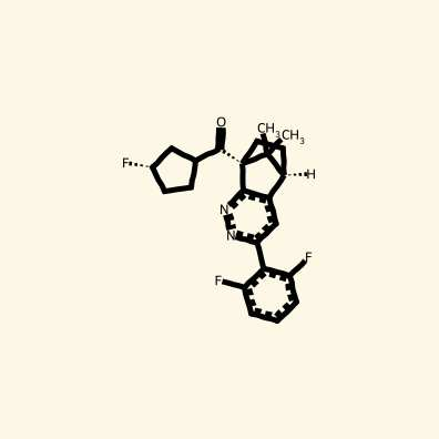 CC1(C)[C@H]2CC[C@]1(C(=O)C1CC[C@H](F)C1)c1nnc(-c3c(F)cccc3F)cc12